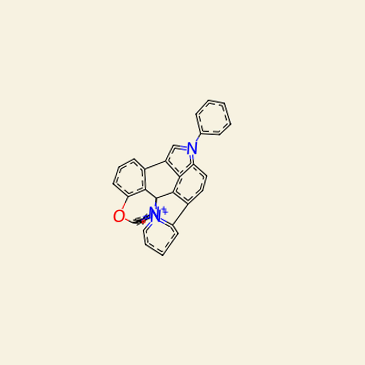 c1ccc(-n2cc3c4c5c(ccc42)-c2cccc[n+]2C52c4c(cccc4-3)Oc3cccc[n+]32)cc1